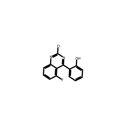 Oc1ccccc1-c1nc(Cl)nc2cccc(F)c12